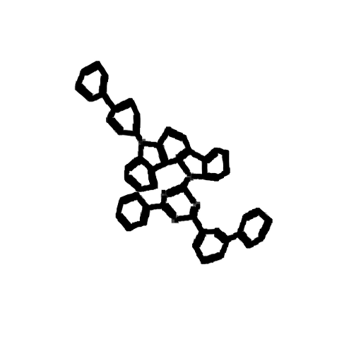 c1ccc(-c2ccc(-n3c4ccccc4c4c3ccc3c5ccccc5n(-c5nc(-c6ccccc6)nc(-c6cccc(-c7ccccc7)c6)n5)c34)cc2)cc1